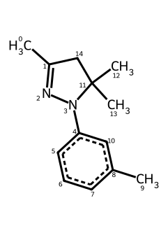 CC1=NN(c2cccc(C)c2)C(C)(C)C1